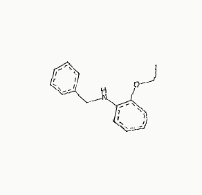 CCOc1ccccc1NCc1ccccc1